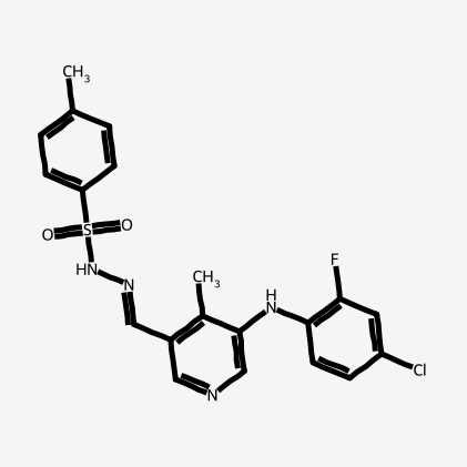 Cc1ccc(S(=O)(=O)N/N=C/c2cncc(Nc3ccc(Cl)cc3F)c2C)cc1